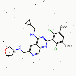 COc1cc(OC)c(Cl)c(-c2nc(NCC3CC3)c3cc(CN[C@H]4CCOC4)ncc3n2)c1Cl